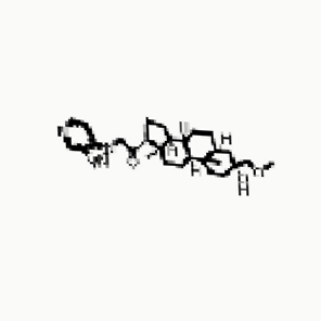 COC[C@@]1(O)CCC2(C)[C@@H](CC[C@@H]3[C@@H]2CC[C@]2(C)[C@@H](C(=O)Cn4nnc5cnccc54)CC[C@@H]32)C1